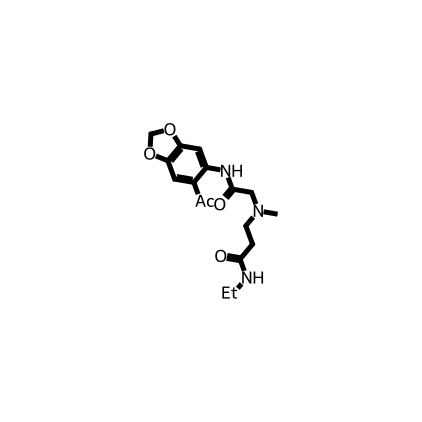 CCNC(=O)CCN(C)CC(=O)Nc1cc2c(cc1C(C)=O)OCO2